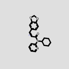 O=C(/C=C\c1ccc2c(c1)OCO2)N(c1ccccn1)C1CCCCC1